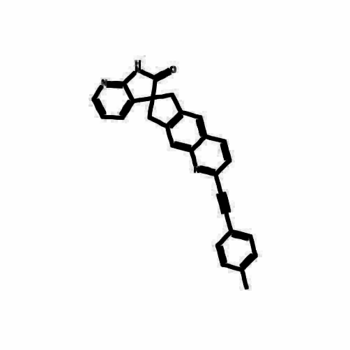 Cc1ccc(C#Cc2ccc3cc4c(cc3n2)CC2(C4)C(=O)Nc3ncccc32)cc1